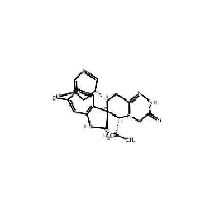 C=C(C)[C@H]1N2CC(=O)NN=C2C[C@@H](C2C=CC=C(Cl)C2)[C@]12C(=O)Nc1cc(Cl)ccc12